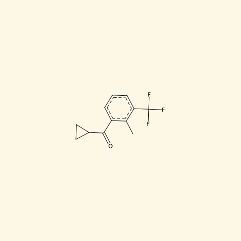 Cc1c(C(=O)C2CC2)cccc1C(F)(F)F